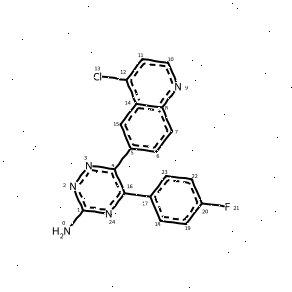 Nc1nnc(-c2ccc3nccc(Cl)c3c2)c(-c2ccc(F)cc2)n1